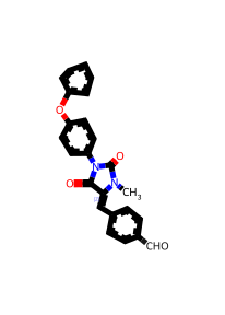 CN1C(=O)N(c2ccc(Oc3ccccc3)cc2)C(=O)/C1=C/c1ccc(C=O)cc1